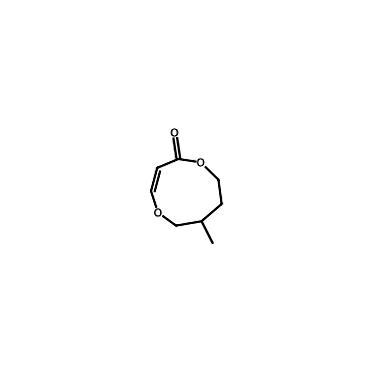 CC1CCOC(=O)C=COC1